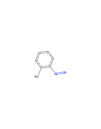 CC(=O)c1ccccc1N=[N]